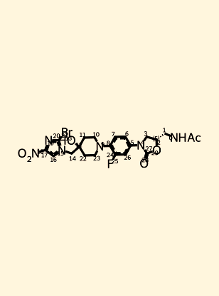 CC(=O)NC[C@H]1CN(c2ccc(N3CCC(O)(Cn4cc([N+](=O)[O-])nc4Br)CC3)c(F)c2)C(=O)O1